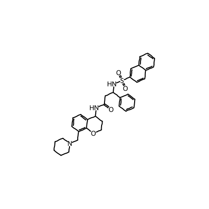 O=C(CC(NS(=O)(=O)c1ccc2ccccc2c1)c1ccccc1)NC1CCOc2c(CN3CCCCC3)cccc21